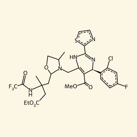 CCOC(=O)CC(C)(CC1OCC(C)N1CC1=C(C(=O)OC)[C@H](c2ccc(F)cc2Cl)N=C(c2nccs2)N1)NC(=O)C(F)(F)F